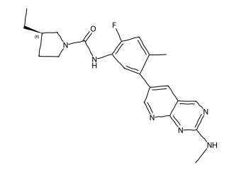 CC[C@@H]1CCN(C(=O)Nc2cc(-c3cnc4nc(NC)ncc4c3)c(C)cc2F)C1